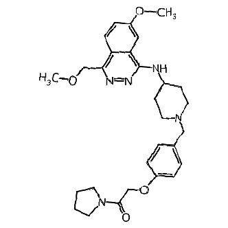 COCc1nnc(NC2CCN(Cc3ccc(OCC(=O)N4CCCC4)cc3)CC2)c2cc(OC)ccc12